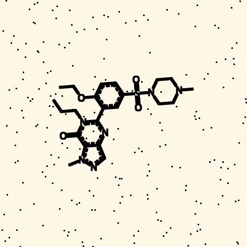 CCCn1c(-c2cc(S(=O)(=O)N3CCN(C)CC3)ccc2OCC)nc2cnn(C)c2c1=O